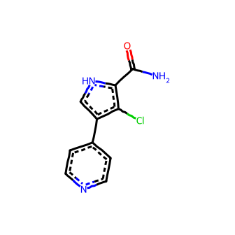 NC(=O)c1[nH]cc(-c2ccncc2)c1Cl